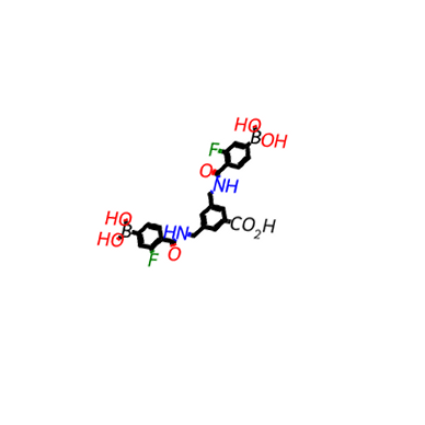 O=C(O)c1cc(CNC(=O)c2ccc(B(O)O)cc2F)cc(CNC(=O)c2ccc(B(O)O)cc2F)c1